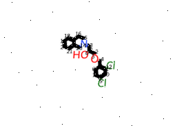 OC(COCc1ccc(Cl)cc1Cl)CN1CCc2ccccc2C1